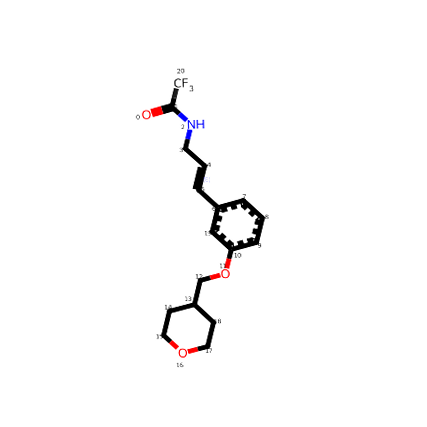 O=C(NC/C=C/c1cccc(OCC2CCOCC2)c1)C(F)(F)F